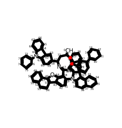 CC1C/C(c2cccc(-c3ccccc3)c2)=N\C(c2c(-n3c4cc5ccccc5cc4c4c5ccccc5ccc43)ccc3c2oc2c4ccccc4ccc32)=N/C(c2ccc3c(c2)c2ccccc2n3-c2ccccc2)C1